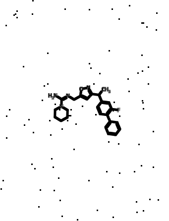 CC(c1ccc(-c2ccccc2)c(F)c1)c1cc(CN=C(N)N2CCCCC2)on1